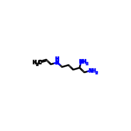 C=CCNCCCC(N)CN